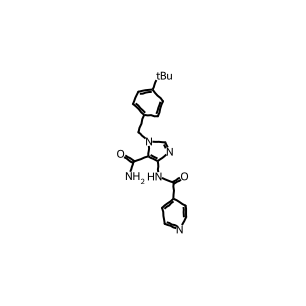 CC(C)(C)c1ccc(Cn2cnc(NC(=O)c3ccncc3)c2C(N)=O)cc1